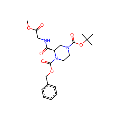 COC(=O)CNC(=O)[C@H]1CN(C(=O)OC(C)(C)C)CCN1C(=O)OCc1ccccc1